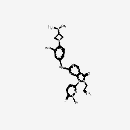 C=CCn1c(=O)c2cnc(Nc3ccc(N4CC(N(C)C)C4)c(OC)c3)nc2n1-c1ccc(=O)n(C(C)C)n1